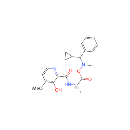 COc1ccnc(C(=O)N[C@@H](C)C(=O)ON(C)C(c2ccccc2)C2CC2)c1O